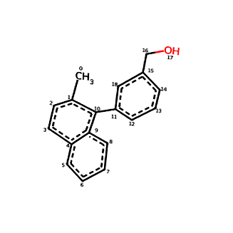 Cc1ccc2ccccc2c1-c1cccc(CO)c1